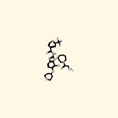 CCC(=O)N1CCCC[C@@H](n2c(NC(=O)c3ccnc(C(F)(F)F)c3)nc3ccc(OC4CCOCC4)c(Cl)c32)C1